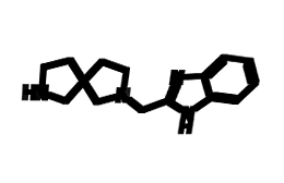 c1ccc2[nH]c(CN3CCC4(CCNC4)C3)nc2c1